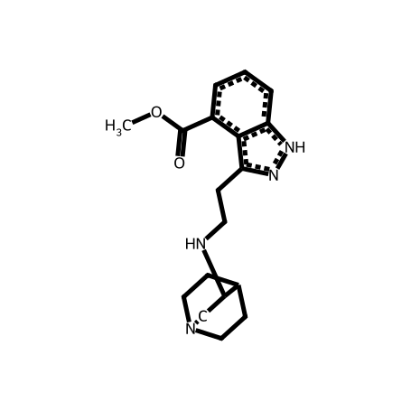 COC(=O)c1cccc2[nH]nc(CCNC3CN4CCC3CC4)c12